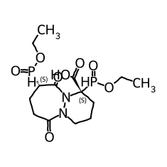 CCO[PH](=O)[C@H]1CCC(=O)N2CCC[C@@](C(=O)O)([PH](=O)OCC)N2C1=O